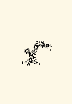 C[C@@H]1OCC2(CCN(c3cnc4c(N5CC[C@H](C)c6nc(C(=O)O)ccc65)nn(C5CCCCO5)c4n3)CC2)[C@@H]1NC(=O)OC(C)(C)C